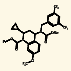 COC(=O)N(Cc1cc(C(F)(F)F)cc(C(F)(F)F)c1)C1CC(C2CC2)N(C(=O)OC(C)C)c2cc(OC(F)(F)F)ccc21